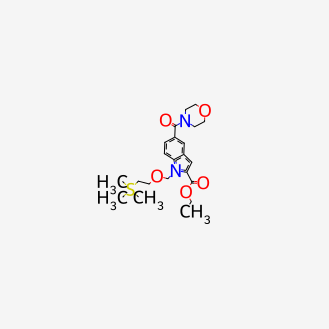 CCOC(=O)c1cc2cc(C(=O)N3CCOCC3)ccc2n1COCCS(C)(C)C